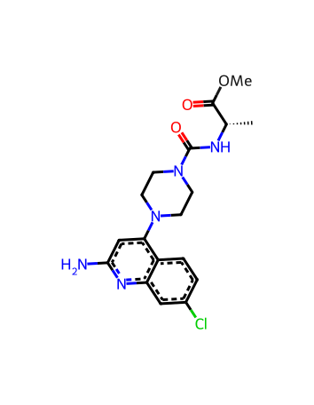 COC(=O)[C@H](C)NC(=O)N1CCN(c2cc(N)nc3cc(Cl)ccc23)CC1